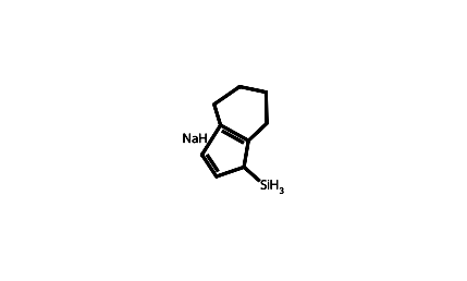 [NaH].[SiH3]C1C=CC2=C1CCCC2